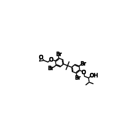 CC(C)C(O)COc1c(Br)cc(C(C)(C)c2cc(Br)c(OCC3CO3)c(Br)c2)cc1Br